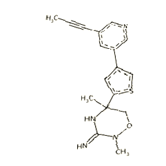 CC#Cc1cncc(-c2csc(C3(C)CON(C)C(=N)N3)c2)c1